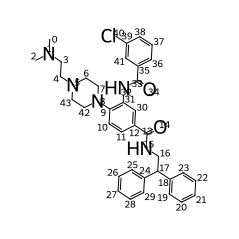 CN(C)CCN1CCN(c2ccc(C(=O)NCC(c3ccccc3)c3ccccc3)cc2NC(=O)c2cccc(Cl)c2)CC1